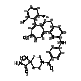 NC(=O)C1(N)CCN(C(=O)c2ccc(Nc3ncc4c(n3)C3=CN=C(Cl)C=C(c5c(F)cccc5F)C3=CC4)cc2)CC1